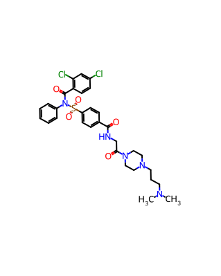 CN(C)CCCN1CCN(C(=O)CNC(=O)c2ccc(S(=O)(=O)N(C(=O)c3ccc(Cl)cc3Cl)c3ccccc3)cc2)CC1